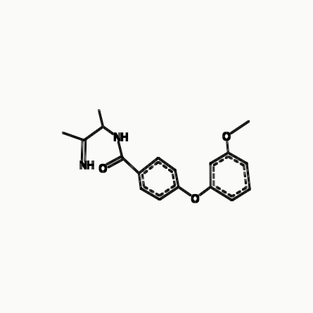 COc1cccc(Oc2ccc(C(=O)NC(C)C(C)=N)cc2)c1